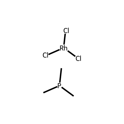 CP(C)C.[Cl][Rh]([Cl])[Cl]